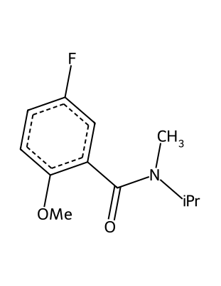 COc1ccc(F)cc1C(=O)N(C)C(C)C